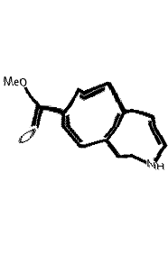 COC(=O)c1ccc2c(c1)CNC=C2